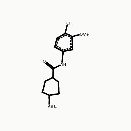 COc1cc(NC(=O)C2CCC([AsH2])CC2)ccc1C